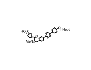 CCCCCCCOc1ccc(-c2cnc(-c3ccc(C[C@H](NC)C(=O)N4CC[C@H](C(=O)O)C4)cc3)nc2)cc1